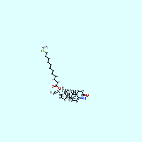 CC(C)SCCCCCCCCCCCC(=O)OC(C)[C@H]1CC[C@H]2[C@@H]3CCC4NC(=O)CC[C@]4(C)[C@H]3CC[C@]12C